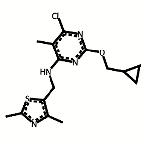 Cc1nc(C)c(CNc2nc(OCC3CC3)nc(Cl)c2C)s1